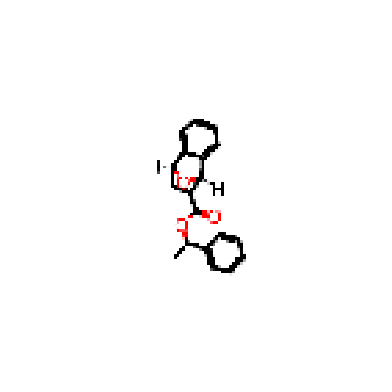 C[C@@H](OC(=O)C1C[C@@H]2O[C@H]1c1ccccc12)c1ccccc1